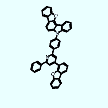 c1ccc(-c2cc(-c3cccc4c3oc3ccccc34)cc(-c3ccc(-n4c5ccccc5c5c6oc7ccccc7c6ccc54)cc3)n2)cc1